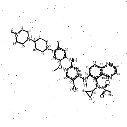 COc1nc(N2CCC(N3CCN(C)CC3)CC2)c(C)cc1Nc1ncc(Br)c(Nc2ccc3nccnc3c2N(C2CC2)S(C)(=O)=O)n1